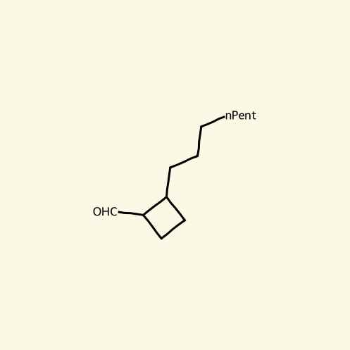 CCCCCCCCC1CCC1C=O